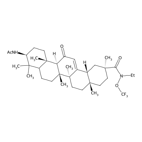 CCN(OC(F)(F)F)C(=O)[C@@]1(C)CC[C@]2(C)CC[C@]3(C)C(=CC(=O)[C@@H]4[C@@]5(C)CC[C@H](NC(C)=O)C(C)(C)C5CC[C@]43C)[C@@H]2C1